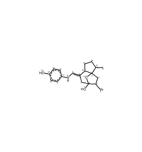 CC(C)C1CC23OC1(O)C/C(=C\Nc1ccc(O)cc1)C2CCC3C